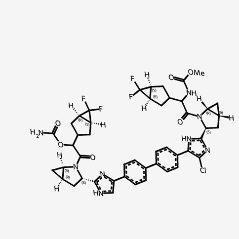 COC(=O)NC(C(=O)N1[C@@H]2C[C@@H]2C[C@H]1c1nc(Cl)c(-c2ccc(-c3ccc(-c4c[nH]c([C@@H]5C[C@H]6C[C@H]6N5C(=O)C(OC(N)=O)C5C[C@@H]6[C@H](C5)C6(F)F)n4)cc3)cc2)[nH]1)C1C[C@@H]2[C@H](C1)C2(F)F